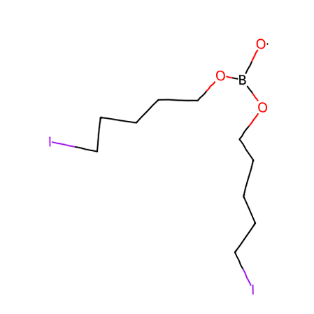 [O]B(OCCCCCI)OCCCCCI